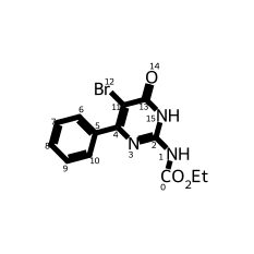 CCOC(=O)Nc1nc(-c2ccccc2)c(Br)c(=O)[nH]1